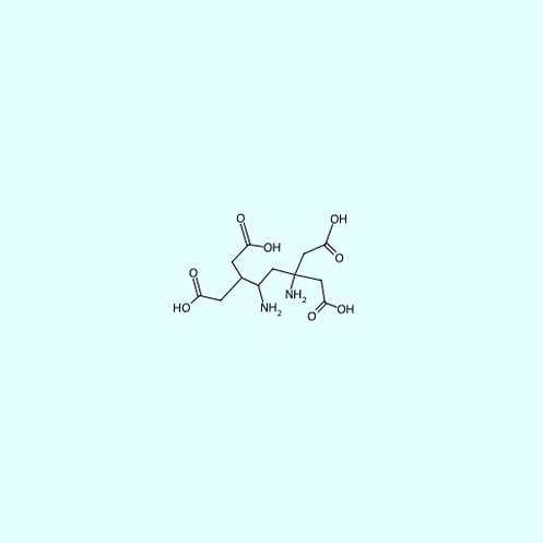 NC(CC(N)(CC(=O)O)CC(=O)O)C(CC(=O)O)CC(=O)O